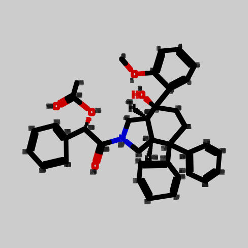 COc1ccccc1[C@]1(O)CCC(c2ccccc2)(c2ccccc2)[C@H]2CN(C(=O)[C@@H](OC(C)=O)c3ccccc3)C[C@H]21